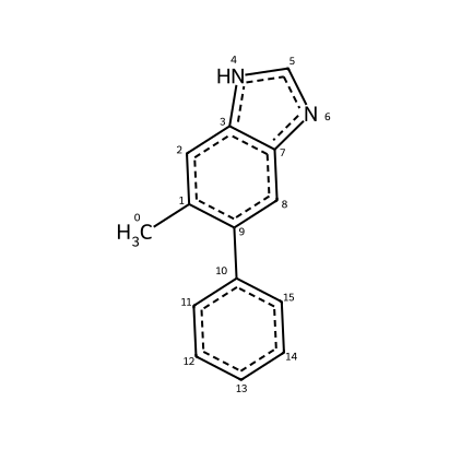 Cc1cc2[nH]cnc2cc1-c1ccccc1